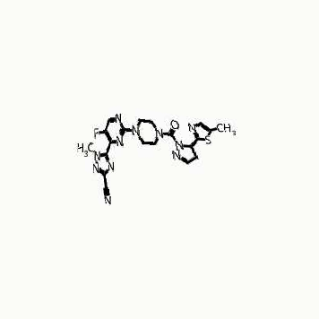 Cc1cnc(C2CC=NN2C(=O)N2CCN(c3ncc(F)c(-c4nc(C#N)nn4C)n3)CC2)s1